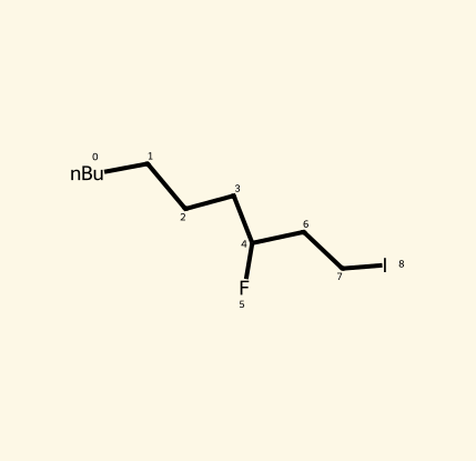 CCCCCCCC(F)CCI